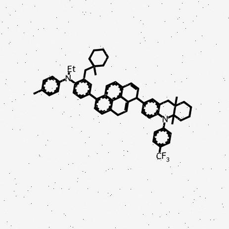 CCN(c1ccc(C)cc1)c1ccc(-c2ccc3c4c5c(ccc24)C=CC(c2ccc4c(c2)CC2(C)CCCCC2(C)N4c2ccc(C(F)(F)F)cc2)C5=CC3)cc1CC1(C)CCCCC1